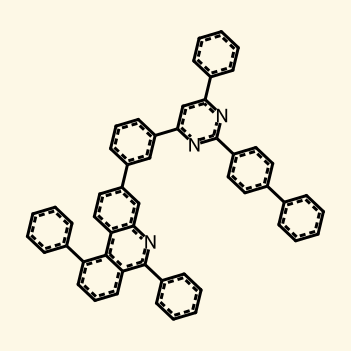 c1ccc(-c2ccc(-c3nc(-c4ccccc4)cc(-c4cccc(-c5ccc6c(c5)nc(-c5ccccc5)c5cccc(-c7ccccc7)c56)c4)n3)cc2)cc1